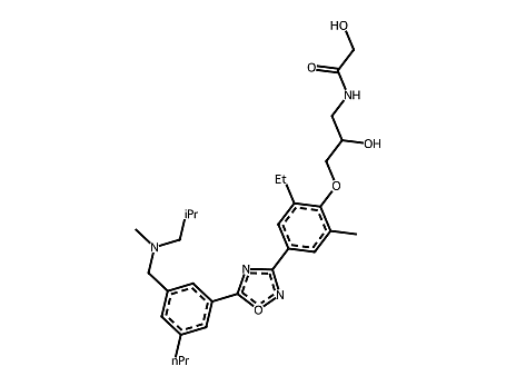 CCCc1cc(CN(C)CC(C)C)cc(-c2nc(-c3cc(C)c(OCC(O)CNC(=O)CO)c(CC)c3)no2)c1